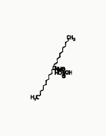 CCCCCCCCCCCOCCCCCCCCCCC.N.N.O=S(=O)(O)O